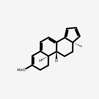 COC1=CC2=CC=C3C4=CC=C[C@@]4(C)CC[C@@H]3[C@H]2CC1